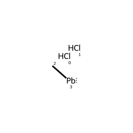 Cl.Cl.[CH3][Pb]